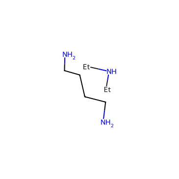 CCNCC.NCCCCN